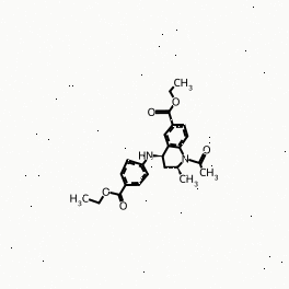 CCOC(=O)c1ccc(N[C@@H]2C[C@H](C)N(C(C)=O)c3ccc(C(=O)OCC)cc32)cc1